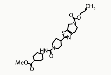 C=CCOC(=O)N1CCc2nc(C3CCN(C(=O)N[C@H]4CC[C@H](C(=O)OC)CC4)CC3)sc2C1